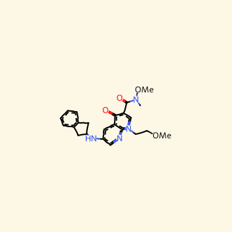 COCCn1cc(C(=O)N(C)OC)c(=O)c2cc(NC3Cc4ccccc4C3)cnc21